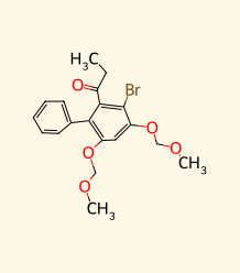 CCC(=O)c1c(Br)c(OCOC)cc(OCOC)c1-c1ccccc1